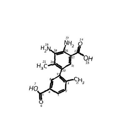 Cc1ccc(C(=O)O)cc1-c1cc(C(=O)O)c(N)c(N)c1C